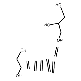 C=C.C=C.C=C.C=C.C=C.C=C.OCC(O)CO.OCCO